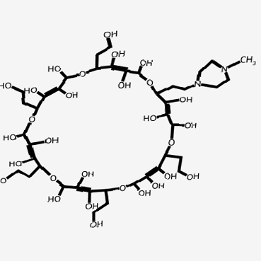 CN1CCN(CCC2OC(O)/C(O)=C(\O)C(CCO)OC(O)/C(O)=C(\O)C(CCO)OC(O)/C(O)=C(\O)C(CCO)OC(O)/C(O)=C(\O)C(CCO)OC(O)/C(O)=C(/O)C(CCO)OC(O)/C(O)=C/2O)CC1